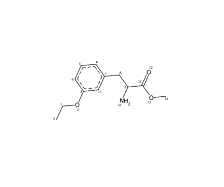 CCOc1cccc(CC(N)C(=O)OC)c1